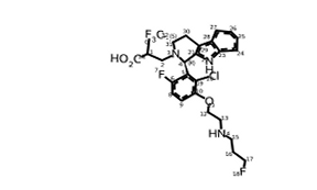 CC(CN1[C@H](c2c(F)ccc(OCCNCCCF)c2Cl)c2[nH]c3ccccc3c2C[C@H]1C(F)(F)F)C(=O)O